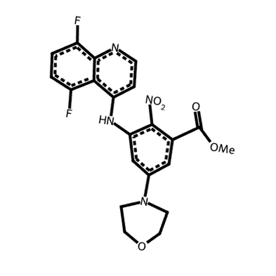 COC(=O)c1cc(N2CCOCC2)cc(Nc2ccnc3c(F)ccc(F)c23)c1[N+](=O)[O-]